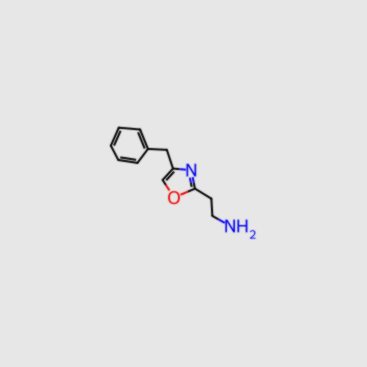 NCCc1nc(Cc2ccccc2)co1